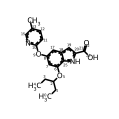 CCC(CC)Oc1cc(Oc2ccc(C)cn2)cc2cc(C(=O)O)[nH]c12